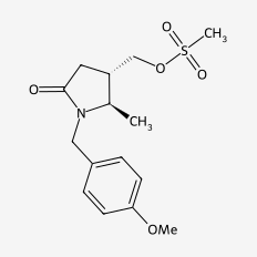 COc1ccc(CN2C(=O)C[C@H](COS(C)(=O)=O)[C@H]2C)cc1